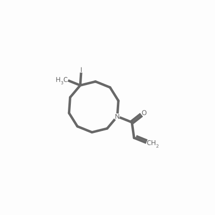 C=CC(=O)N1CCCCCC(C)(I)CCC1